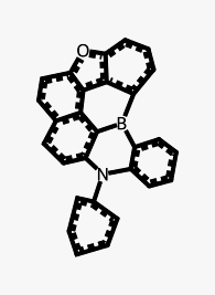 c1ccc(N2c3ccccc3B3c4c2ccc2ccc5oc6cccc3c6c5c42)cc1